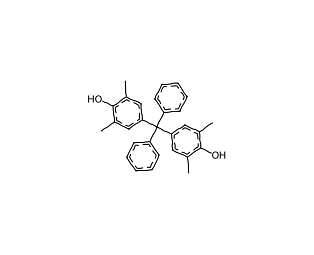 Cc1cc(C(c2ccccc2)(c2ccccc2)c2cc(C)c(O)c(C)c2)cc(C)c1O